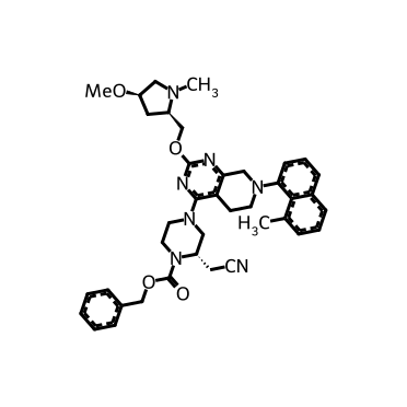 CO[C@@H]1C[C@H](COc2nc3c(c(N4CCN(C(=O)OCc5ccccc5)[C@@H](CC#N)C4)n2)CCN(c2cccc4cccc(C)c24)C3)N(C)C1